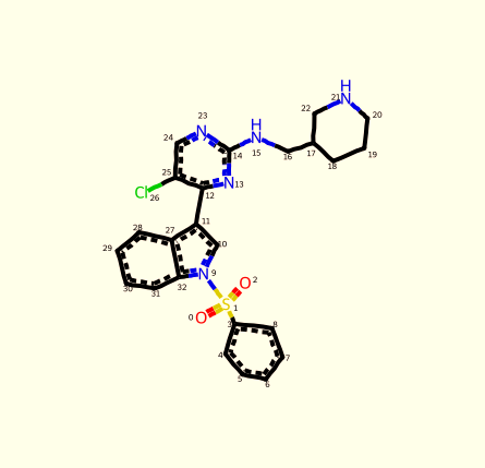 O=S(=O)(c1ccccc1)n1cc(-c2nc(NCC3CCCNC3)ncc2Cl)c2ccccc21